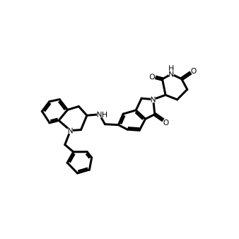 O=C1CCC(N2Cc3cc(CNC4Cc5ccccc5N(Cc5ccccc5)C4)ccc3C2=O)C(=O)N1